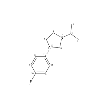 CC(C)N1CC[C@@H](c2ccc(F)cc2)C1